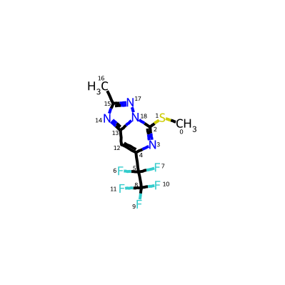 CSc1nc(C(F)(F)C(F)(F)F)cc2nc(C)nn12